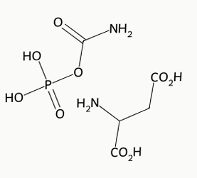 NC(=O)OP(=O)(O)O.NC(CC(=O)O)C(=O)O